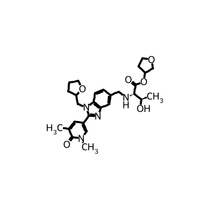 Cc1cc(-c2nc3cc(CN[C@H](C(=O)OC4CCOC4)[C@@H](C)O)ccc3n2CC2CCCO2)cn(C)c1=O